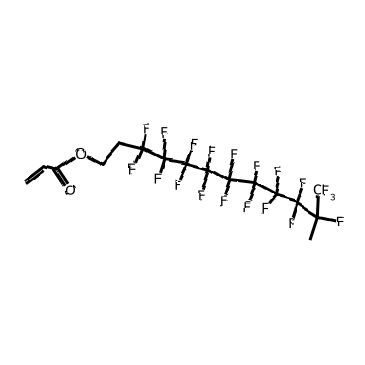 C=CC(=O)OCCC(F)(F)C(F)(F)C(F)(F)C(F)(F)C(F)(F)C(F)(F)C(F)(F)C(F)(F)C(C)(F)C(F)(F)F